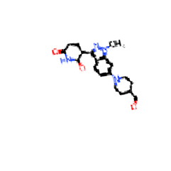 Cn1nc(C2CCC(=O)NC2=O)c2ccc(N3CCC(C=O)CC3)cc21